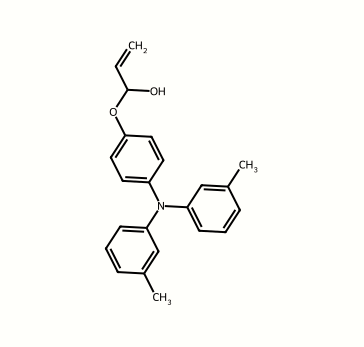 C=CC(O)Oc1ccc(N(c2cccc(C)c2)c2cccc(C)c2)cc1